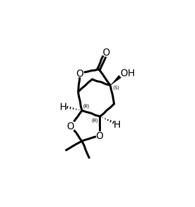 CC1(C)O[C@@H]2C[C@]3(O)CC(OC3=O)[C@@H]2O1